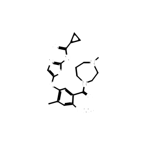 COc1cc(C)c(Sc2cnc(NC(=O)C3CC3)s2)cc1C(=O)N1CCCN(C)CC1